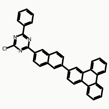 Clc1nc(-c2ccccc2)nc(-c2ccc3cc(-c4ccc5c6ccccc6c6ccccc6c5c4)ccc3c2)n1